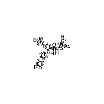 CCS(=O)(=O)CCN1CC[C@@H](NC(=O)Nc2nc(C)c(C(C)=O)s2)[C@H](CN2CCC[C@@H](Cc3ccc(F)cc3)C2)C1